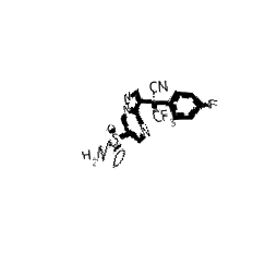 N#C[C@@](c1ccc(F)cc1)(c1cnn2cc(S(N)(=O)=O)cnc12)C(F)(F)F